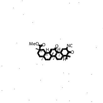 [C-]#[N+]C1C[C@]2(C)[C@H]3C(=O)C=C4[C@@H]5C[C@@](C)(C(=O)OC)CC[C@]5(C)CC[C@@]4(C)[C@]3(C)CC[C@H]2C(C)(C)C1=O